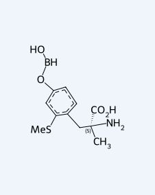 CSc1cc(OBO)ccc1C[C@](C)(N)C(=O)O